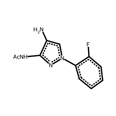 CC(=O)Nc1nn(-c2[c]cccc2F)cc1N